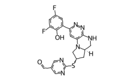 O=Cc1cnc(S[C@@H]2C[C@@H]3CNc4nnc(-c5cc(F)cc(F)c5O)cc4N3C2)nc1